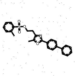 Cc1ccccc1S(=O)(=O)OCCc1nc(-c2ccc(-c3ccccc3)cc2)oc1C